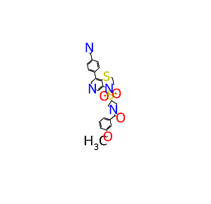 COc1cccc(C(=O)N2CC(S(=O)(=O)N3CCSc4c(-c5ccc(C#N)cc5)cncc43)C2)c1